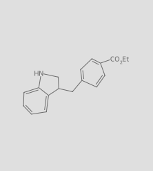 CCOC(=O)c1ccc(CC2CNc3ccccc32)cc1